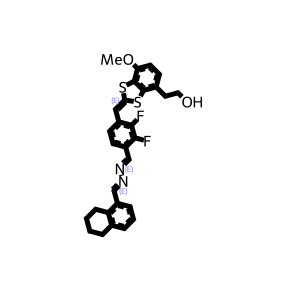 COc1ccc(CCO)c2c1S/C(=C/c1ccc(/C=N/N=C/c3cccc4c3CCCC4)c(F)c1F)S2